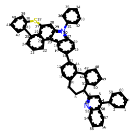 c1ccc(-c2cc(C3CCc4ccc(-c5ccc6c(c5)c5c7cccc8c7c(cc5n6-c5ccccc5)Sc5ccccc5-8)cc4-c4ccccc43)nc3ccccc23)cc1